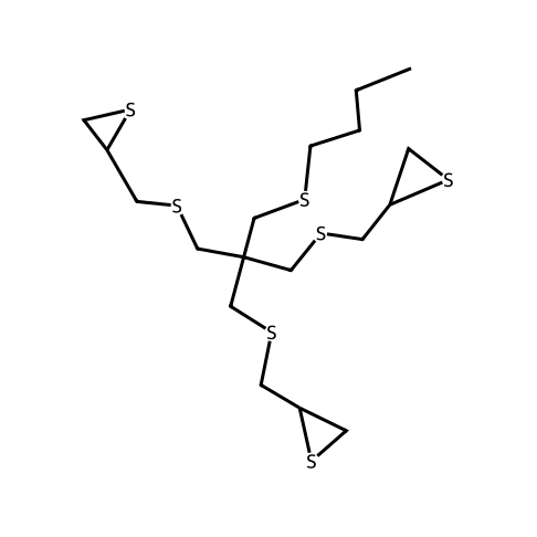 CCCCSCC(CSCC1CS1)(CSCC1CS1)CSCC1CS1